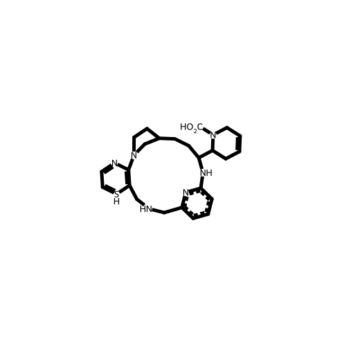 O=C(O)N1CC=CCC1C1CCC2CCN(C2)C2=C(CNCc3cccc(n3)N1)[SH]=CC=N2